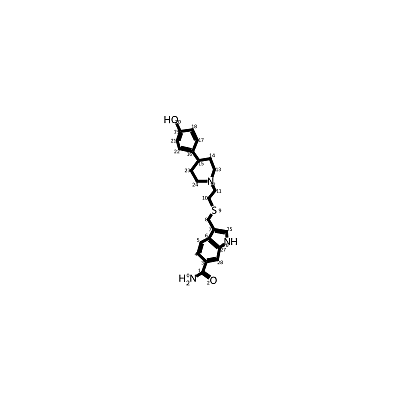 NC(=O)c1ccc2c(CSCCN3CCC(c4ccc(O)cc4)CC3)c[nH]c2c1